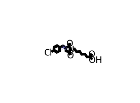 O=C(O)CCCCCCN1C(=O)C/C(=C\c2ccc(Cl)cc2)C1=O